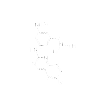 CC(=O)Nc1cc(CN(C)C)cc(Nc2ncc3cc(Br)ccc3n2)c1